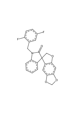 O=C1N(Cc2cc(F)ccc2F)c2ccccc2C12COc1cc3c(cc12)OCO3